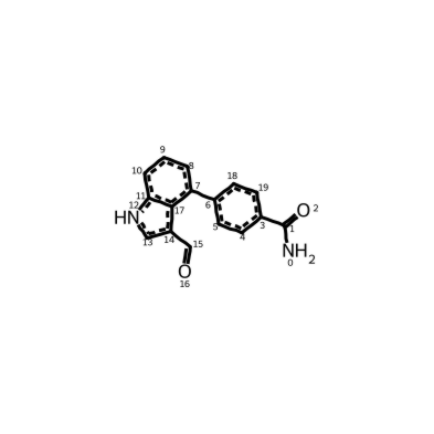 NC(=O)c1ccc(-c2cccc3[nH]cc(C=O)c23)cc1